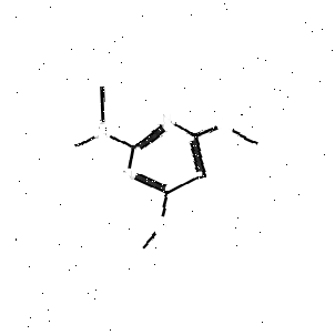 COc1cc(OC)nc(N(C)C)n1